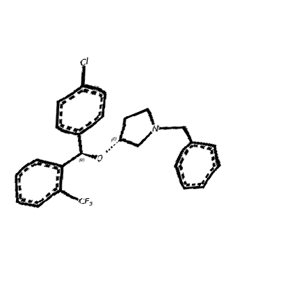 FC(F)(F)c1ccccc1[C@H](O[C@@H]1CCN(Cc2ccccc2)C1)c1ccc(Cl)cc1